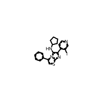 Ic1cnccc1-c1nc2scc(-c3ccccc3)n2c1NC1CCCC1